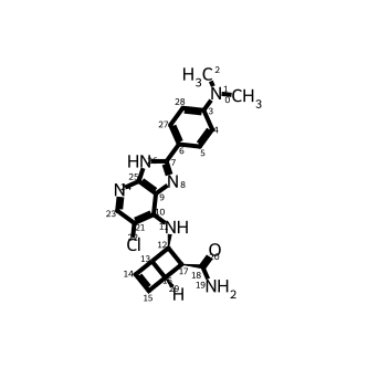 CN(C)c1ccc(-c2nc3c(N[C@@H]4C5C=C[C@H]5[C@@H]4C(N)=O)c(Cl)cnc3[nH]2)cc1